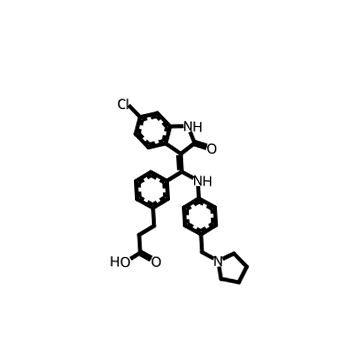 O=C(O)CCc1cccc(/C(Nc2ccc(CN3CCCC3)cc2)=C2/C(=O)Nc3cc(Cl)ccc32)c1